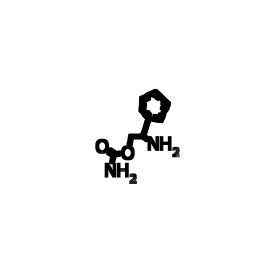 NC(=O)OCC(N)c1ccccc1